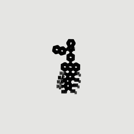 Bc1c(B)c2c(c(B)c1O)C(C)(C)c1c(B)c(-c3c4ccccc4c(-c4ccc(-c5nc6ccccc6n5-c5ccc6ccccc6c5)cc4)c4ccccc34)c(B)c(B)c1-2